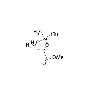 COC(=O)[C@H](CN)O[Si](C)(C)C(C)(C)C